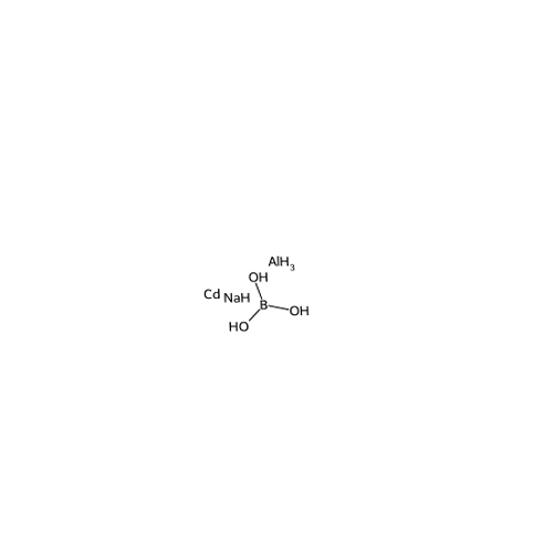 OB(O)O.[AlH3].[Cd].[NaH]